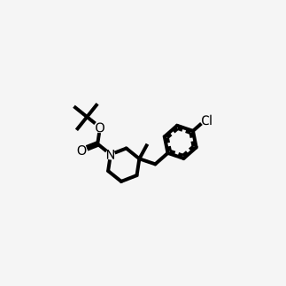 CC1(Cc2ccc(Cl)cc2)CCCN(C(=O)OC(C)(C)C)C1